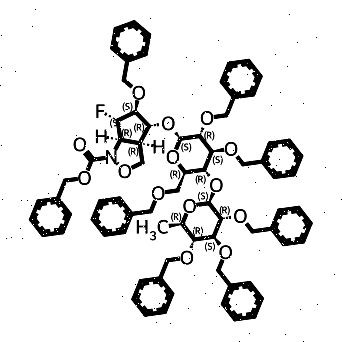 C[C@H]1O[C@@H](O[C@H]2[C@H](OCc3ccccc3)[C@@H](OCc3ccccc3)[C@@H](O[C@@H]3[C@H]4CON(C(=O)OCc5ccccc5)[C@H]4[C@H](F)[C@H]3OCc3ccccc3)O[C@@H]2COCc2ccccc2)[C@H](OCc2ccccc2)[C@@H](OCc2ccccc2)[C@@H]1OCc1ccccc1